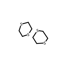 C1CSCCS1.C1CSCCS1